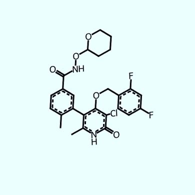 Cc1ccc(C(=O)NOC2CCCCO2)cc1-c1c(C)[nH]c(=O)c(Cl)c1OCc1ccc(F)cc1F